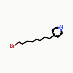 BrCCCCCCCCc1ccncc1